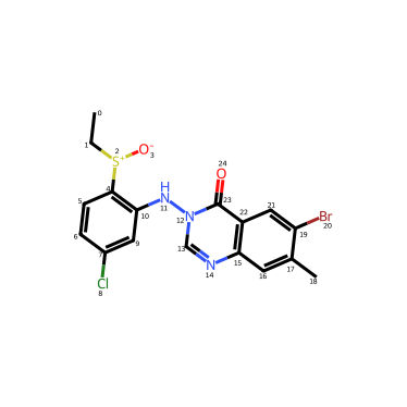 CC[S+]([O-])c1ccc(Cl)cc1Nn1cnc2cc(C)c(Br)cc2c1=O